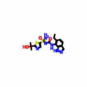 CCc1ccc2cn[nH]c2c1NC(=O)N=[S@](N)(=O)c1cnc(C(C)(C)O)s1